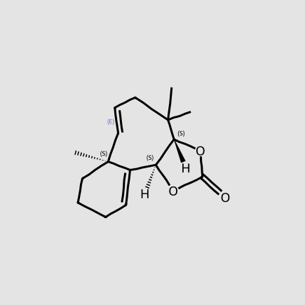 CC1(C)C/C=C/[C@]2(C)CCCC=C2[C@@H]2OC(=O)O[C@H]21